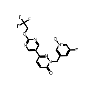 O=c1ccc(-c2cnc(OCC(F)(F)F)nc2)nn1Cc1cc(F)c[n+]([O-])c1